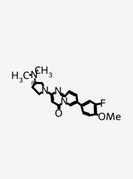 COc1ccc(-c2ccc3nc(N4CC[C@@H](N(C)C)C4)cc(=O)n3c2)cc1F